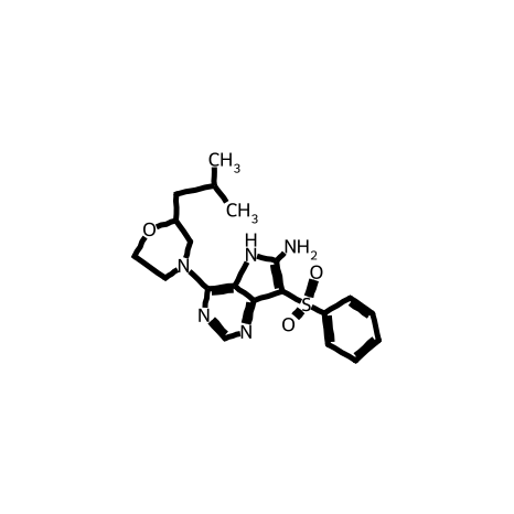 CC(C)CC1CN(c2ncnc3c(S(=O)(=O)c4ccccc4)c(N)[nH]c23)CCO1